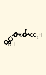 O=C(O)CCc1ccc(OCc2ccc(CN3CCC4(CC3)CNC3=C4CCC=C3)cc2)cc1F